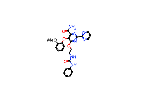 COc1ccccc1Oc1c(OCCNC(=O)Nc2ccccc2)nc(-c2ncccn2)nc1C(N)=O